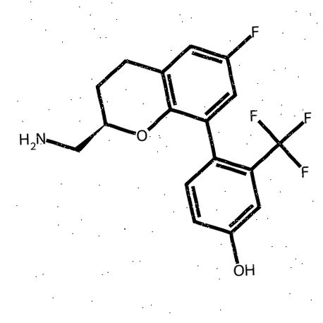 NC[C@H]1CCc2cc(F)cc(-c3ccc(O)cc3C(F)(F)F)c2O1